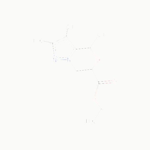 CCOC(=O)C1Cn2nc(C)c(C)c2C(C)O1